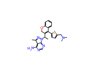 Cc1nn(C(C)C2=C(c3ccc(CN(C)C)s3)c3ccccc3OC2)c2ncnc(N)c12